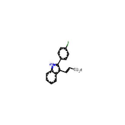 O=C(O)/C=C/c1c(-c2ccc(F)cc2)[nH]c2ccccc12